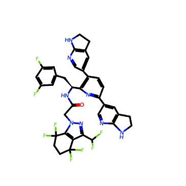 O=C(Cn1nc(C(F)F)c2c1C(F)(F)CCC2(F)F)N[C@@H](Cc1cc(F)cc(F)c1)c1nc(-c2cnc3c(c2)CCN3)ccc1-c1cnc2c(c1)CCN2